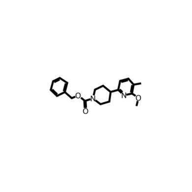 COc1nc(C2CCN(C(=O)OCc3ccccc3)CC2)ccc1C